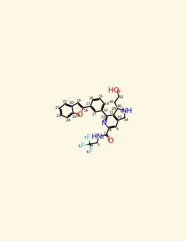 O=C(NCC(F)(F)F)c1cc2c(c(-c3cccc(-c4cc5ccccc5o4)c3)n1)[C@@H](CCO)NC2